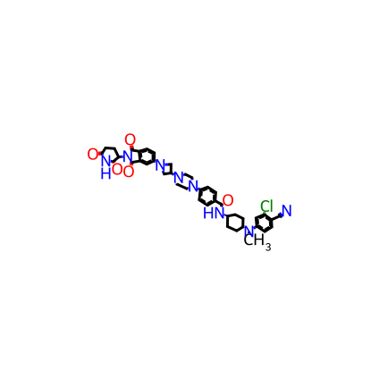 CN(c1ccc(C#N)c(Cl)c1)[C@H]1CC[C@H](NC(=O)c2ccc(N3CCN(C4CN(c5ccc6c(c5)C(=O)N(C5CCC(=O)NC5=O)C6=O)C4)CC3)cc2)CC1